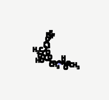 COC(=O)N/C=C/CCC(C)c1cc(O)c(C(=O)C(C)Cc2ccc(OCC(F)(F)F)cc2)c(=O)o1